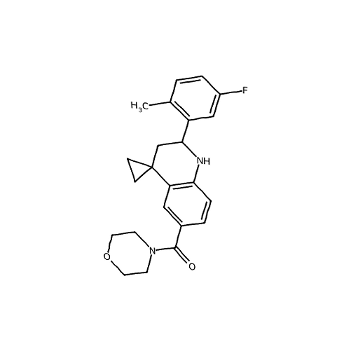 Cc1ccc(F)cc1C1CC2(CC2)c2cc(C(=O)N3CCOCC3)ccc2N1